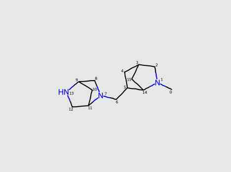 CN1CC2CC(CN3CC4CC3CN4)C1C2